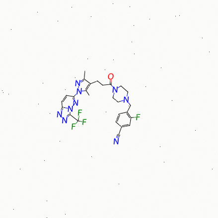 Cc1nn(-c2ccc3nnc(C(F)(F)F)n3n2)c(C)c1CCC(=O)N1CCN(Cc2ccc(C#N)cc2F)CC1